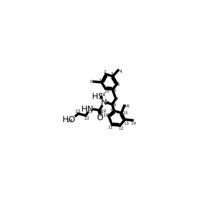 Cc1cc(C)cc(CC(c2cccc(C)c2C)N(S)C(=O)NCCO)c1